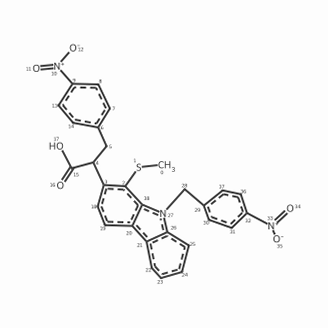 CSc1c(C(Cc2ccc([N+](=O)[O-])cc2)C(=O)O)ccc2c3ccccc3n(Cc3ccc([N+](=O)[O-])cc3)c12